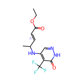 CCOC(=O)/C=C/C(C)Nc1cn[nH]c(=O)c1C(F)(F)F